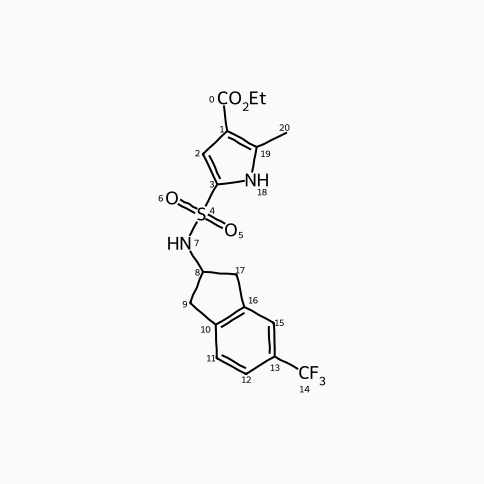 CCOC(=O)c1cc(S(=O)(=O)NC2Cc3ccc(C(F)(F)F)cc3C2)[nH]c1C